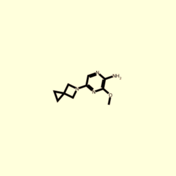 COc1nc(N2CC3(CC3)C2)cnc1N